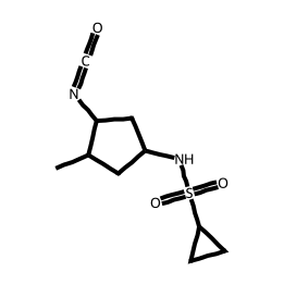 CC1CC(NS(=O)(=O)C2CC2)CC1N=C=O